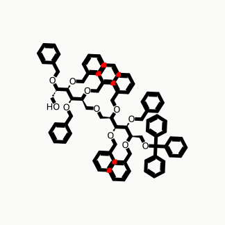 OC[C@H](OCc1ccccc1)[C@H](OCc1ccccc1)[C@@H](OCc1ccccc1)[C@H](COC[C@@H](OCc1ccccc1)[C@@H](OCc1ccccc1)[C@H](OCc1ccccc1)[C@@H](COC(c1ccccc1)(c1ccccc1)c1ccccc1)OCc1ccccc1)OCc1ccccc1